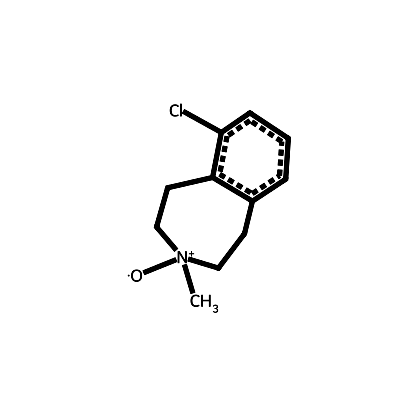 C[N+]1([O])CCc2cccc(Cl)c2CC1